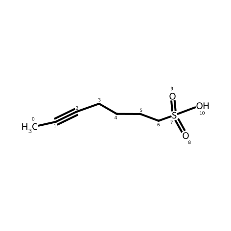 CC#CCCCCS(=O)(=O)O